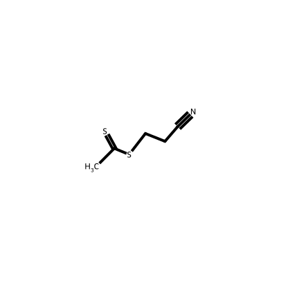 CC(=S)SCCC#N